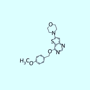 COc1ccc(COc2ncnc3cc(N4CCOCC4)sc23)cc1